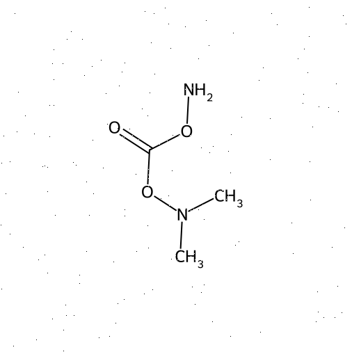 CN(C)OC(=O)ON